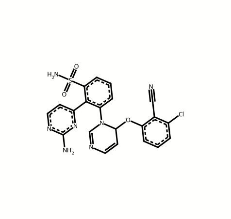 N#Cc1c(Cl)cccc1OC1C=CN=CN1c1cccc(S(N)(=O)=O)c1-c1ccnc(N)n1